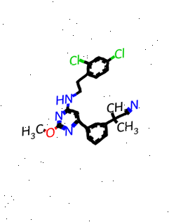 COc1nc(NCCc2ccc(Cl)cc2Cl)cc(-c2cccc(C(C)(C)C#N)c2)n1